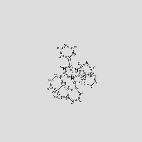 C1=CCCC(c2nc(-c3ccccc3)nc(-c3cccc4oc5cccc(-c6ccc7ccccc7c6)c5c34)n2)=C1